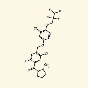 C[C@@H]1CCCN1C(=O)c1cc(Cl)c(COc2cnc(OCC(F)(F)C(F)F)c(Cl)c2)cc1F